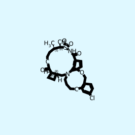 C[C@@H]1[C@@H](C)CCCC(=O)[C@@H]2CC[C@H]2CN2CCCCc3cc(Cl)ccc3COc3ccc(cc32)C(=O)NS1(=O)=O